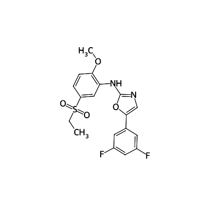 CCS(=O)(=O)c1ccc(OC)c(Nc2ncc(-c3cc(F)cc(F)c3)o2)c1